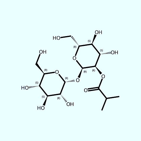 CC(C)C(=O)O[C@H]1[C@@H](O[C@H]2O[C@H](CO)[C@@H](O)[C@H](O)[C@H]2O)O[C@H](CO)[C@@H](O)[C@@H]1O